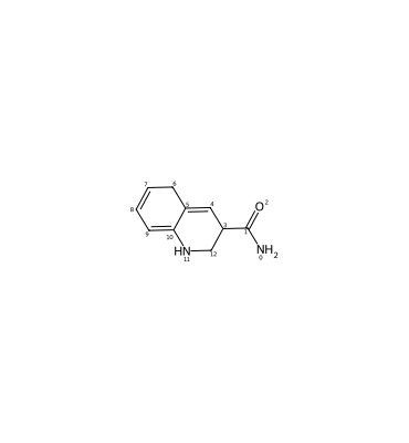 NC(=O)C1C=C2CC=CC=C2NC1